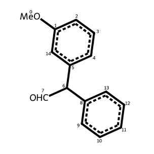 COc1cccc(C(C=O)c2ccccc2)c1